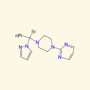 [CH2]CCC(Br)(N1CCN(c2ncccn2)CC1)n1cccn1